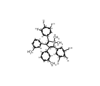 Cc1cccc(C2=C(c3cc(F)c(F)c(F)c3)[Si](C)(C)C(c3cc(F)c(F)c(F)c3)=C2c2cccc(C)c2)c1